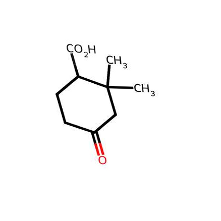 CC1(C)CC(=O)CCC1C(=O)O